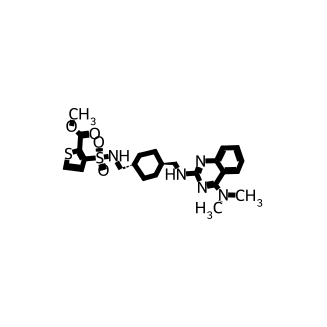 COC(=O)c1sccc1S(=O)(=O)NC[C@H]1CC[C@H](CNc2nc(N(C)C)c3ccccc3n2)CC1